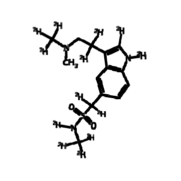 [2H]c1c(C([2H])([2H])CN(C)C([2H])([2H])[2H])c2cc(C([2H])([2H])S(=O)(=O)N([2H])C([2H])([2H])[2H])ccc2n1[2H]